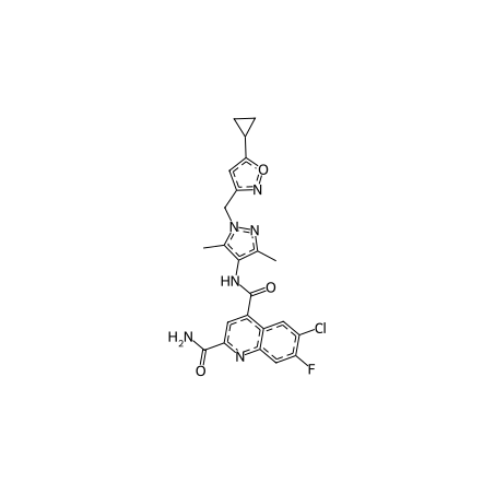 Cc1nn(Cc2cc(C3CC3)on2)c(C)c1NC(=O)c1cc(C(N)=O)nc2cc(F)c(Cl)cc12